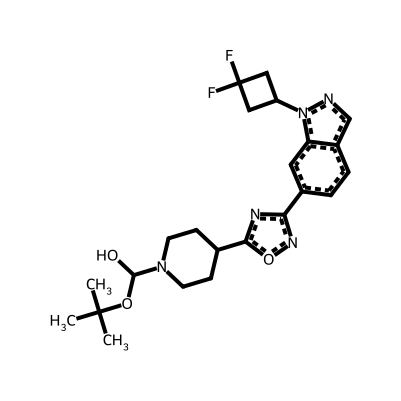 CC(C)(C)OC(O)N1CCC(c2nc(-c3ccc4cnn(C5CC(F)(F)C5)c4c3)no2)CC1